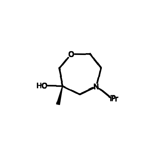 CC(C)N1CCOC[C@@](C)(O)C1